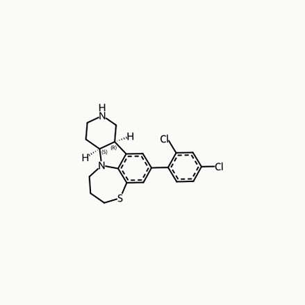 Clc1ccc(-c2cc3c4c(c2)[C@@H]2CNCC[C@@H]2N4CCCS3)c(Cl)c1